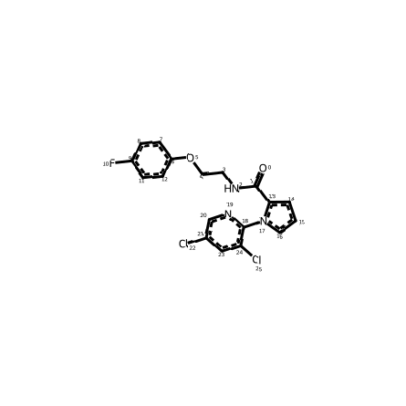 O=C(NCCOc1ccc(F)cc1)c1cccn1-c1ncc(Cl)cc1Cl